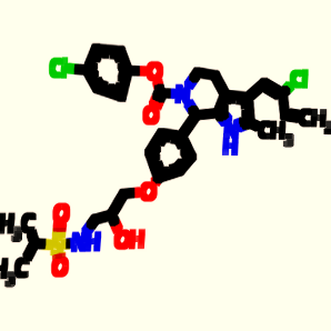 C=C/C(Cl)=C\c1c(C)[nH]c2c1CCN(C(=O)Oc1ccc(Cl)cc1)C2c1ccc(OCC(O)CNS(=O)(=O)C(C)C)cc1